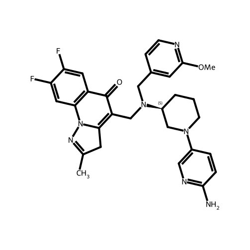 COc1cc(CN(Cc2c3n(c4cc(F)c(F)cc4c2=O)N=C(C)C3)[C@H]2CCCN(c3ccc(N)nc3)C2)ccn1